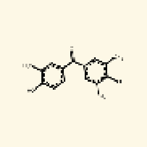 Cc1cc(C(=O)c2cc(C)c(O)c(C)c2)ccc1O